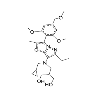 CCc1nn2c(-c3c(OC)cc(COC)cc3OC)c(C)oc2c1N(CC(CO)CO)CC1CC1